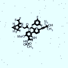 COc1ccc(-c2ccc(C#CC(C)(C)O)nc2[C@H](Cc2cc(F)cc(F)c2)NC(=O)Cn2nc(C(F)F)c3c2C(F)(F)[C@@H]2C[C@H]32)c2[nH]nc(NS(C)(=O)=O)c12